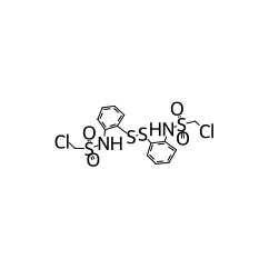 O=S(=O)(CCl)Nc1ccccc1SSc1ccccc1NS(=O)(=O)CCl